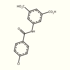 O=C(O)c1cc(NC(=O)c2ccc(Cl)cc2)cc(C(=O)O)c1